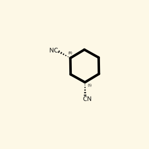 N#C[C@@H]1CCC[C@H](C#N)C1